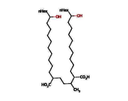 CCCCCCC(O)CCCCCCCCCC(CCC(C)C(CCCCCCCCCC(O)CCCCCC)C(=O)O)C(=O)O